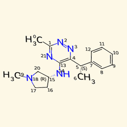 Cc1nnc([C@@H](C)c2ccccc2)c(N[C@@H]2CCN(C)C2)n1